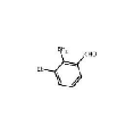 Bc1c(C=O)cccc1CC